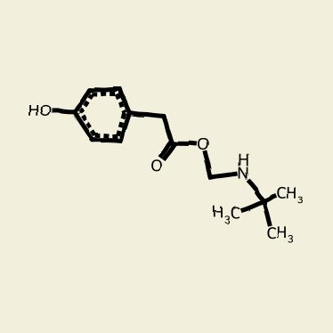 CC(C)(C)NCOC(=O)Cc1ccc(O)cc1